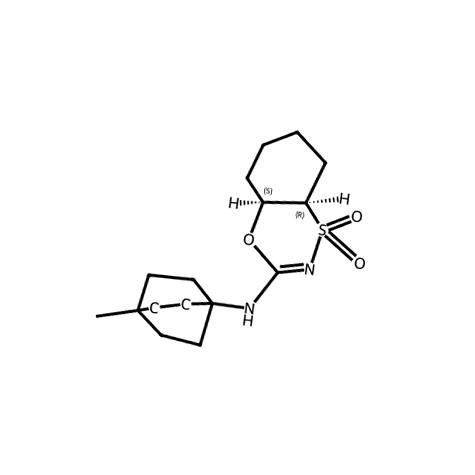 CC12CCC(NC3=NS(=O)(=O)[C@@H]4CCCC[C@@H]4O3)(CC1)CC2